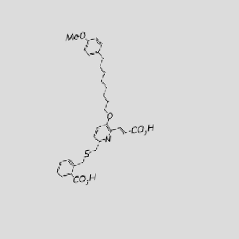 COc1ccc(CCCCCCCCOc2ccc(CSCc3ccccc3C(=O)O)nc2C=CC(=O)O)cc1